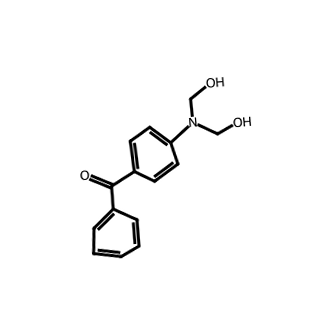 O=C(c1ccccc1)c1ccc(N(CO)CO)cc1